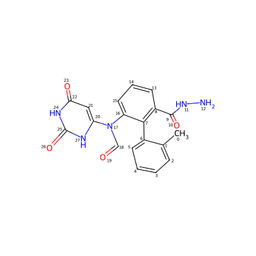 Cc1ccccc1-c1c(C(=O)NN)cccc1N(C=O)c1cc(=O)[nH]c(=O)[nH]1